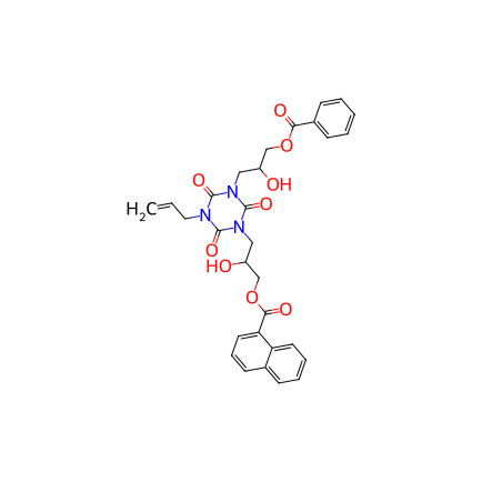 C=CCn1c(=O)n(CC(O)COC(=O)c2ccccc2)c(=O)n(CC(O)COC(=O)c2cccc3ccccc23)c1=O